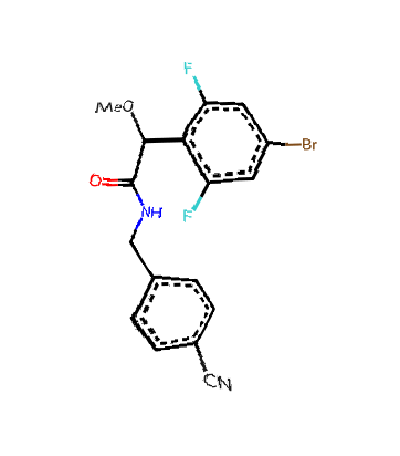 COC(C(=O)NCc1ccc(C#N)cc1)c1c(F)cc(Br)cc1F